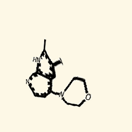 Cc1[nH]c2nccc(N3CCOCC3)c2c1I